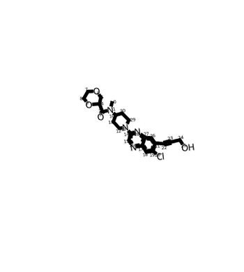 CN(C(=O)C1COCCO1)C1CCN(c2cnc3cc(Cl)c(C#CCO)cc3n2)CC1